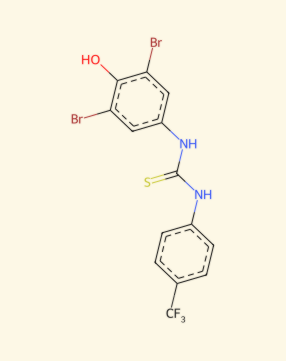 Oc1c(Br)cc(NC(=S)Nc2ccc(C(F)(F)F)cc2)cc1Br